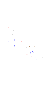 CC[C@H](C)[C@H](NC(=O)[C@@H](N)Cc1ccc(O)cc1)C(=O)N[C@@H](CS)C(=O)N[C@@H](CCC(=O)O)C(=O)N[C@H]([C]=O)C(C)C